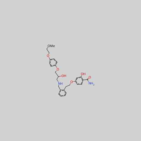 COCCOc1ccc(OCC(O)CNCc2ccccc2CCOc2ccc(C(N)=O)c(O)c2)cc1